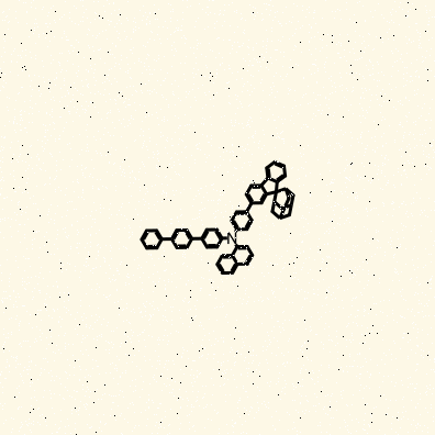 c1ccc(-c2ccc(-c3ccc(N(c4ccc(-c5ccc6c(c5)C5(c7ccccc7-6)C6CC7CC(C6)CC5C7)cc4)c4cccc5ccccc45)cc3)cc2)cc1